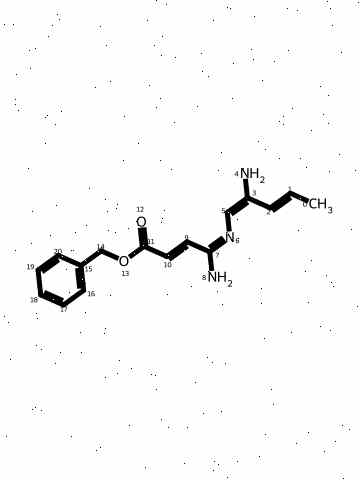 C/C=C/C(N)=C\N=C(N)/C=C/C(=O)OCc1ccccc1